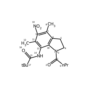 CCCC(=O)N1CCc2c(C)c([N+](=O)[O-])c(C)c(NC(=O)C(C)(C)C)c21